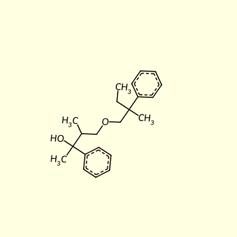 CCC(C)(COCC(C)C(C)(O)c1ccccc1)c1ccccc1